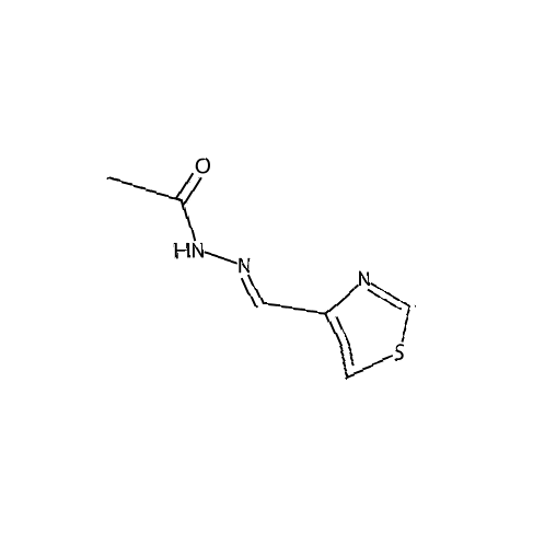 CC(=O)NN=Cc1cs[c]n1